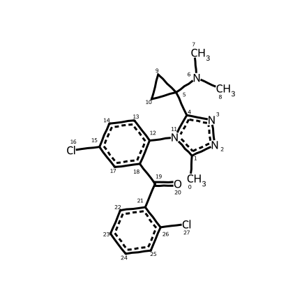 Cc1nnc(C2(N(C)C)CC2)n1-c1ccc(Cl)cc1C(=O)c1ccccc1Cl